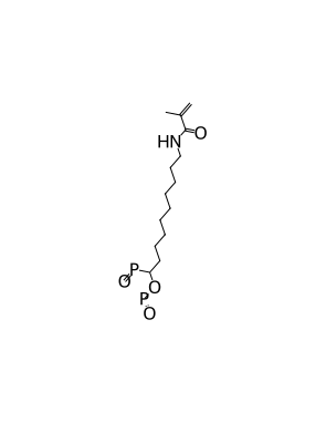 C=C(C)C(=O)NCCCCCCCCCC(OP=O)P=O